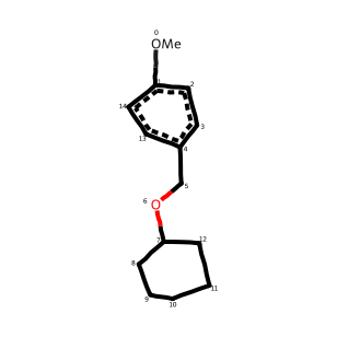 COc1ccc(COC2CCCCC2)cc1